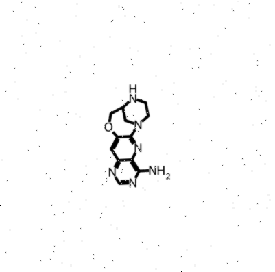 Nc1ncnc2cc3c(nc12)N1CCNC(CO3)C1